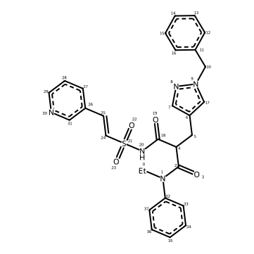 CCN(C(=O)C(Cc1cnn(Cc2ccccc2)c1)C(=O)NS(=O)(=O)C=Cc1cccnc1)c1ccccc1